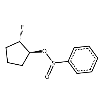 O=S(O[C@H]1CCC[C@@H]1F)c1ccccc1